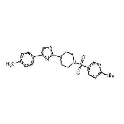 Cc1ccc(-c2csc(N3CCN(S(=O)(=O)c4ccc(C(C)(C)C)cc4)CC3)n2)cc1